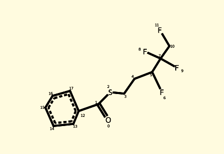 O=C(SCCC(F)C(F)(F)CF)c1ccccc1